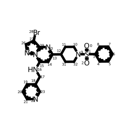 O=S(=O)(c1ccccc1)N1CCC(c2cc(NCc3cccnc3)n3ncc(Br)c3n2)CC1